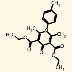 CCOC(=O)c1c(C)n(-c2ccc(C)cc2)c(C)c(C(=O)OCC)c1=O